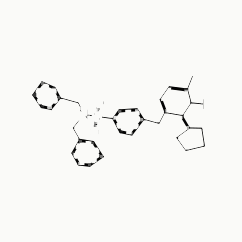 CC1=CC=C(Cc2ccc(S(=O)(=O)N(Cc3ccccc3)Cc3ccccc3)cc2)C(=C2CCCC2)C1F